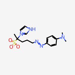 CN(C)c1ccc(/N=N/CCCC(C)([n+]2cc[nH]c2)S(=O)(=O)[O-])cc1